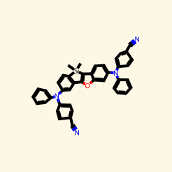 C[Si]1(C)c2ccc(N(c3ccccc3)c3ccc(C#N)cc3)cc2-c2oc3cc(N(c4ccccc4)c4ccc(C#N)cc4)ccc3c21